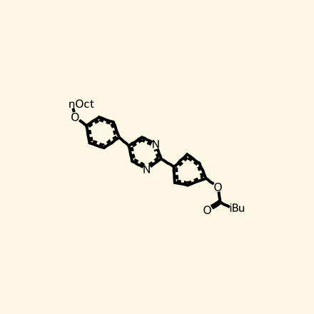 CCCCCCCCOc1ccc(-c2cnc(-c3ccc(OC(=O)C(C)CC)cc3)nc2)cc1